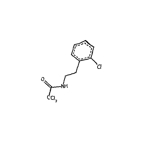 O=C(NCCc1ccccc1Cl)C(Cl)(Cl)Cl